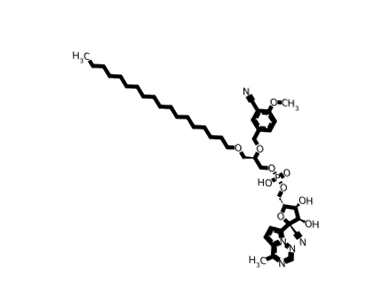 CCCCCCCCCCCCCCCCCCOC[C@H](COP(=O)(O)OC[C@H]1O[C@@](C#N)(c2ccc3c(C)ncnn23)[C@H](O)[C@@H]1O)OCc1ccc(OC)c(C#N)c1